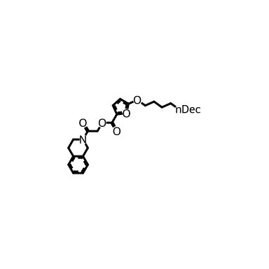 CCCCCCCCCCCCCCOc1ccc(C(=O)OCC(=O)N2CCc3ccccc3C2)o1